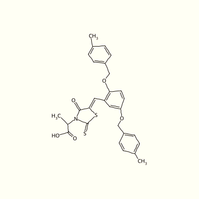 Cc1ccc(COc2ccc(OCc3ccc(C)cc3)c(C=C3SC(=S)N(C(C)C(=O)O)C3=O)c2)cc1